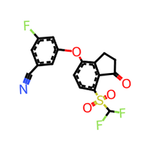 N#Cc1cc(F)cc(Oc2ccc(S(=O)(=O)C(F)F)c3c2CCC3=O)c1